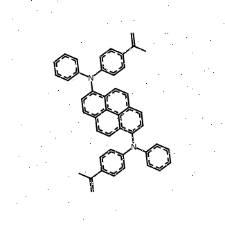 C=C(C)c1ccc(N(c2ccccc2)c2ccc3ccc4c(N(c5ccccc5)c5ccc(C(=C)C)cc5)ccc5ccc2c3c54)cc1